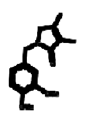 COc1ccc(CN2CC(C)=C(C)C2=O)cc1OC